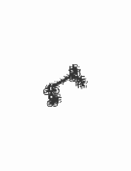 CC1(C)C(=O)N(c2ccc([N+](=O)[O-])c(C(F)(F)F)c2)C(=O)N1CCCCCCCCC[SH](O)(CCCC(F)(F)C(F)(F)F)=NC(=O)C(F)(F)F